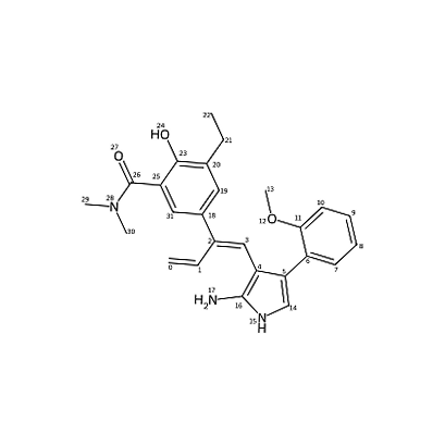 C=C/C(=C\c1c(-c2ccccc2OC)c[nH]c1N)c1cc(CC)c(O)c(C(=O)N(C)C)c1